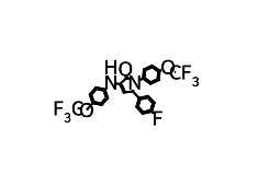 O=C1C(Nc2ccc(OC(F)(F)F)cc2)=CC(c2ccc(F)cc2)N1c1ccc(OC(F)(F)F)cc1